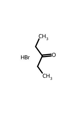 Br.CCC(=O)CC